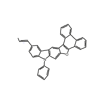 C/C=C/c1ccc2c(c1)c1cc3c(cc1n2-c1ccccc1)oc1c2ccccc2c2ccccc2c31